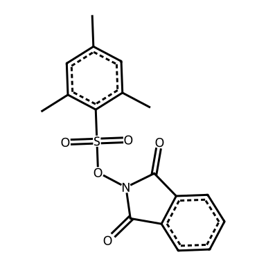 Cc1cc(C)c(S(=O)(=O)ON2C(=O)c3ccccc3C2=O)c(C)c1